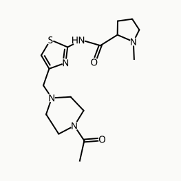 CC(=O)N1CCN(Cc2csc(NC(=O)C3CCCN3C)n2)CC1